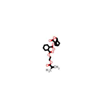 C=C(C)C(=O)OCCOC(=O)C1CCCCC1C(=O)OC1C2CC3C(=O)OC1C3C2